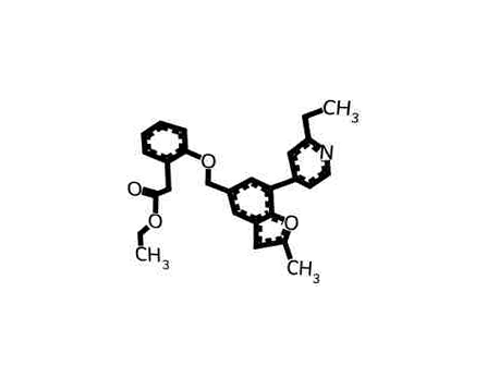 CCOC(=O)Cc1ccccc1OCc1cc(-c2ccnc(CC)c2)c2oc(C)cc2c1